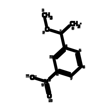 [CH2]C(OC)c1cccc([N+](=O)[O-])c1